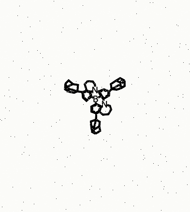 c1cc(C23CC4CC(CC(C4)C2)C3)c2c3c1B1c4ccc(C56CC7CC(CC(C7)C5)C6)c5c4N(CCCC5)c4cc(C56CC7CC(CC(C7)C5)C6)cc(c41)N3CCCC2